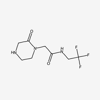 O=C(CN1CCNCC1=O)NCC(F)(F)F